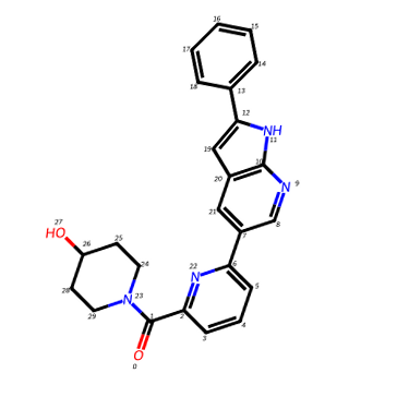 O=C(c1cccc(-c2cnc3[nH]c(-c4ccccc4)cc3c2)n1)N1CCC(O)CC1